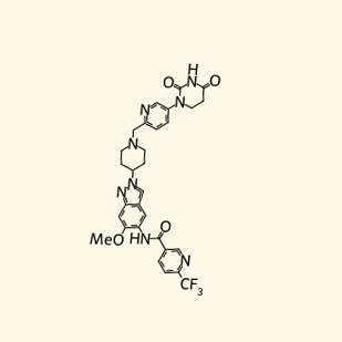 COc1cc2nn(C3CCN(Cc4ccc(N5CCC(=O)NC5=O)cn4)CC3)cc2cc1NC(=O)c1ccc(C(F)(F)F)nc1